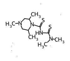 CC1CN(C)CC(C)N1C(=S)NC(=S)N(C)C